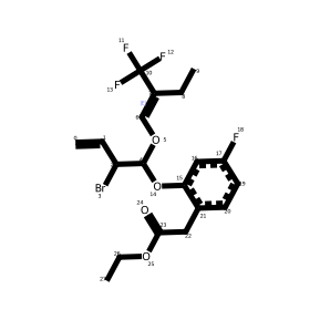 C=CC(Br)C(O/C=C(\CC)C(F)(F)F)Oc1cc(F)ccc1CC(=O)OCC